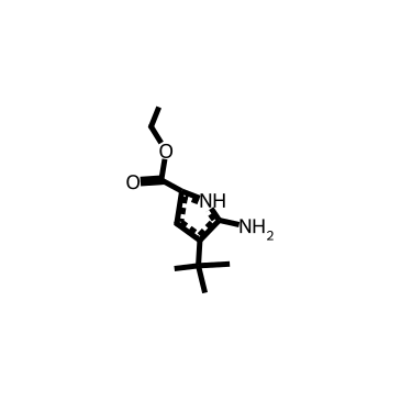 CCOC(=O)c1cc(C(C)(C)C)c(N)[nH]1